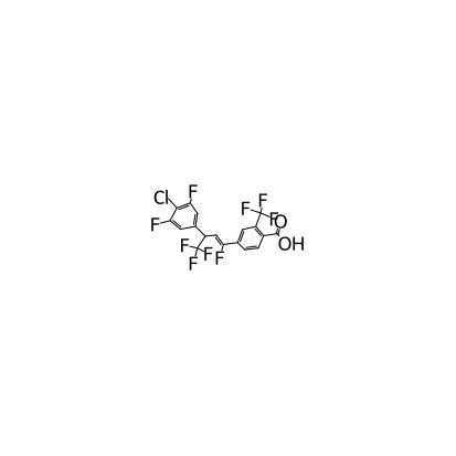 O=C(O)c1ccc(C(F)=CC(c2cc(F)c(Cl)c(F)c2)C(F)(F)F)cc1C(F)(F)F